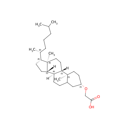 CC(C)CCC[C@@H](C)[C@H]1CC[C@H]2[C@@H]3CCC4C[C@@H](OCC(=O)O)CC[C@]4(C)[C@H]3CC[C@]12C